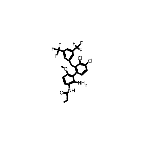 CCC(=O)Nc1ccc(OC)c(-c2ccc(Cl)c(Cl)c2Cc2cc(C(F)(F)F)cc(C(F)(F)F)c2)c1N